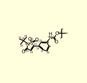 CC(C)(C)OC(=O)Nc1cccc(C2=CC(=O)N(C(C)(C)C)S2(=O)=O)c1